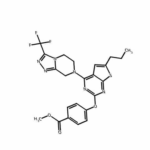 CCCc1cc2c(N3CCn4c(nnc4C(F)(F)F)C3)nc(Oc3ccc(C(=O)OC)cc3)nc2s1